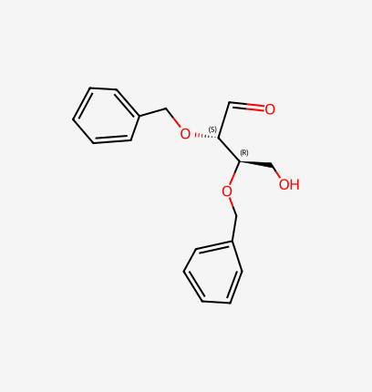 O=C[C@@H](OCc1ccccc1)[C@@H](CO)OCc1ccccc1